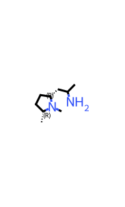 CC(N)C[C@H]1CC[C@@H](C)N1C